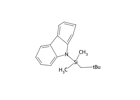 CC(C)(C)C[Si](C)(C)n1c2ccccc2c2ccccc21